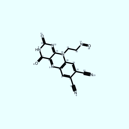 N#Cc1cc2nc3c(=O)[nH]c(=O)nc-3n(CCN=O)c2cc1C#N